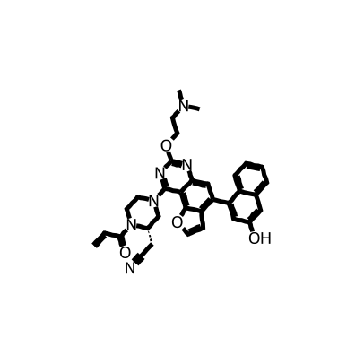 C=CC(=O)N1CCN(c2nc(OCCN(C)C)nc3cc(-c4cc(O)cc5ccccc45)c4ccoc4c23)C[C@@H]1CC#N